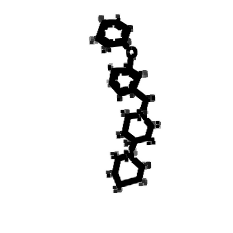 c1ccc(Oc2cccc(CN3CCC(N4CCCCC4)CC3)c2)cc1